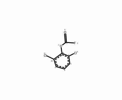 O=C(F)Oc1c(Cl)cccc1Cl